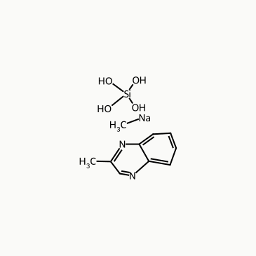 Cc1cnc2ccccc2n1.O[Si](O)(O)O.[CH3][Na]